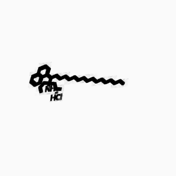 CCCCCCCCCCCCCCCCC(c1cccc2ccccc12)C(N)(CCC)CCC.Cl